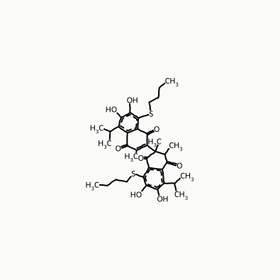 CCCCSc1c(O)c(O)c(C(C)C)c2c1C(=O)C(C1(C)C(=O)c3c(SCCCC)c(O)c(O)c(C(C)C)c3C(=O)C1C)=C(C)C2=O